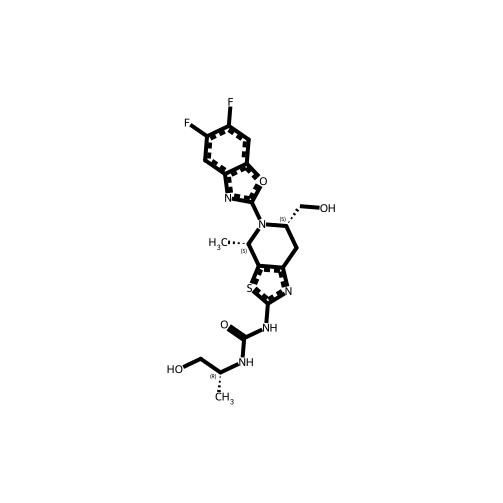 C[C@H](CO)NC(=O)Nc1nc2c(s1)[C@H](C)N(c1nc3cc(F)c(F)cc3o1)[C@H](CO)C2